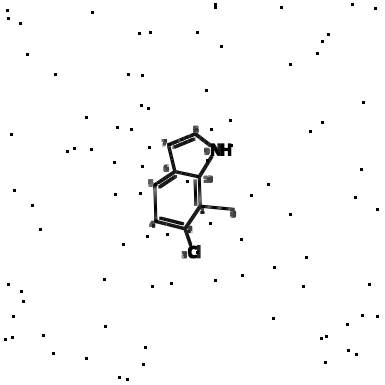 Cc1c(Cl)ccc2cc[nH]c12